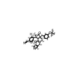 COC(=O)C1(Cc2cccc(OC(F)(F)F)c2)CCN(Cc2cnc[nH]2)C(C)C1Cc1ccc(C#N)cc1